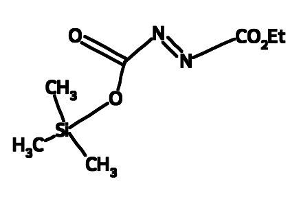 CCOC(=O)N=NC(=O)O[Si](C)(C)C